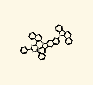 c1ccc(-c2nc(-c3ccccc3)nc(-c3c(-n4c5ccccc5c5cc6ccc(-n7c8ccccc8c8ccc9ccccc9c87)cc6cc54)ccc4ccccc34)n2)cc1